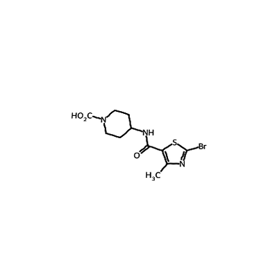 Cc1nc(Br)sc1C(=O)NC1CCN(C(=O)O)CC1